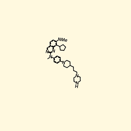 CNc1ccc2cnc(N(C)c3ccc(N4CCC(CCCN5CCNCC5)CC4)cc3)nc2c1C1CCCC1